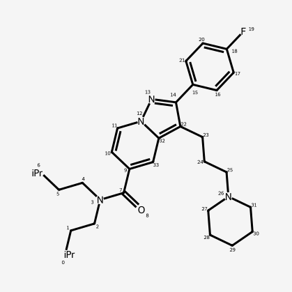 CC(C)CCN(CCC(C)C)C(=O)c1ccn2nc(-c3ccc(F)cc3)c(CCCN3CCCCC3)c2c1